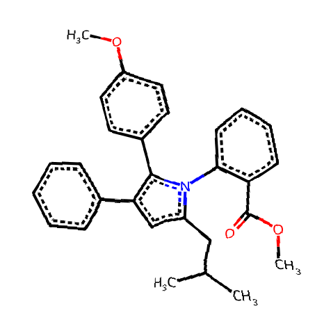 COC(=O)c1ccccc1-n1c(CC(C)C)cc(-c2ccccc2)c1-c1ccc(OC)cc1